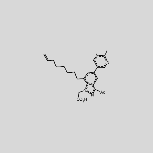 C=CCCCCCCc1cc(-c2cnc(C)nc2)cc2c(C(C)=O)nn(CC(=O)O)c12